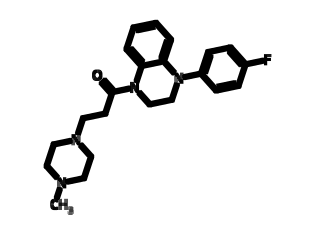 CN1CCN(CCC(=O)N2CCN(c3ccc(F)cc3)c3ccccc32)CC1